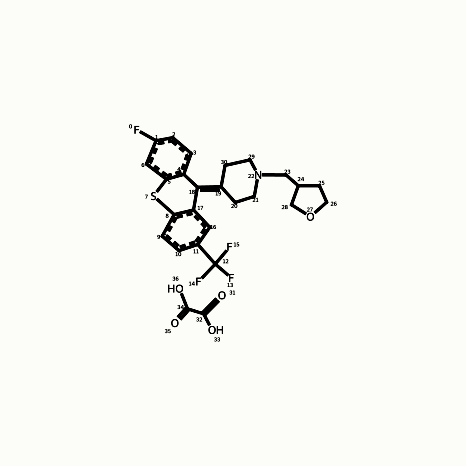 Fc1ccc2c(c1)Sc1ccc(C(F)(F)F)cc1C2=C1CCN(CC2CCOC2)CC1.O=C(O)C(=O)O